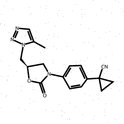 Cc1cnnn1C[C@H]1CN(c2ccc(C3(C#N)CC3)cc2)C(=O)O1